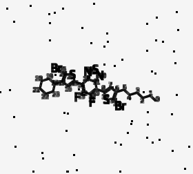 CCCCCCc1cc(-c2c(F)c(F)c(-c3cc(C4CCCCC4)c(Br)s3)c3nsnc23)sc1Br